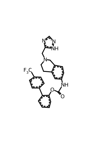 O=C(Nc1ccc2c(c1)CCN(Cc1ncn[nH]1)C2)Oc1ccccc1-c1ccc(C(F)(F)F)cc1